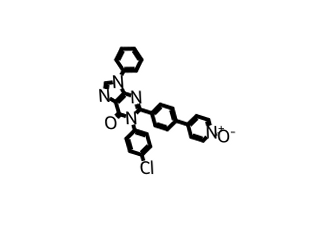 O=c1c2ncn(-c3ccccc3)c2nc(-c2ccc(-c3cc[n+]([O-])cc3)cc2)n1-c1ccc(Cl)cc1